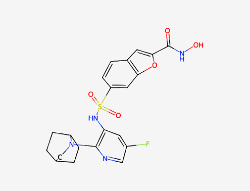 O=C(NO)c1cc2ccc(S(=O)(=O)Nc3cc(F)cnc3N3CC4CCC3CC4)cc2o1